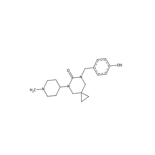 CN1CCC(N2CC3(CC3)CN(Cc3ccc(O)cc3)C2=O)CC1